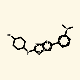 CN(C)c1cccc(-c2cn3nc(NC4CCC(O)CC4)sc3n2)c1